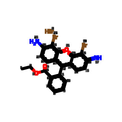 Br.CCOC(=O)c1ccccc1-c1c2ccc(=N)c(Br)c-2oc2c(Br)c(N)ccc12